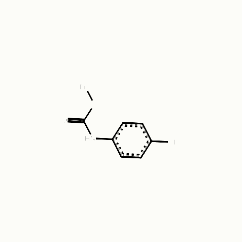 CCCOC(=O)Nc1ccc(C(F)(F)F)cc1